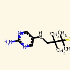 CC(C)(S)C(C)(C)CBc1cnc(N)nc1